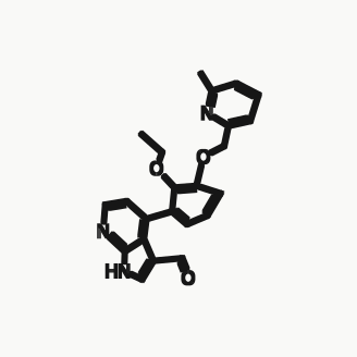 CCOc1c(OCc2cccc(C)n2)cccc1-c1ccnc2[nH]cc(C=O)c12